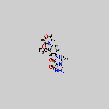 CN(C1CC1)[C@H](C(N)=O)C(=O)Nc1ccc(N2CCOCC2=O)c(C(F)(F)F)c1